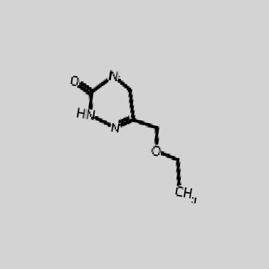 CCOCC1=NNC(=O)[N]C1